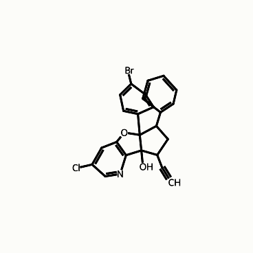 C#CC1CC(c2ccccc2)C2(c3ccc(Br)cc3)Oc3cc(Cl)cnc3C12O